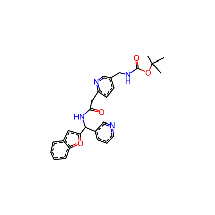 CC(C)(C)OC(=O)NCc1ccc(CC(=O)NC(c2cccnc2)c2cc3ccccc3o2)nc1